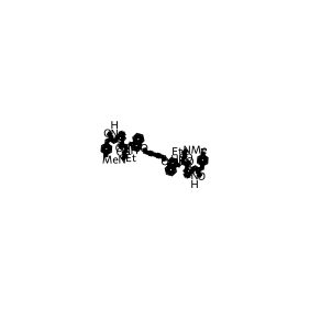 CC[C@H](NC)C(=O)N[C@@H](Cc1ccc(OCC#CC#CCOc2ccc(C[C@H](NC(=O)[C@H](CC)NC)C(=O)N3CC(C)(C)c4[nH]c(=O)c(Cc5ccc(F)cc5)cc43)c3ccccc23)c2ccccc12)C(=O)N1CC(C)(C)c2[nH]c(=O)c(Cc3ccc(F)cc3)cc21